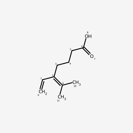 C=CC(CCCC(=O)O)=C(C)C